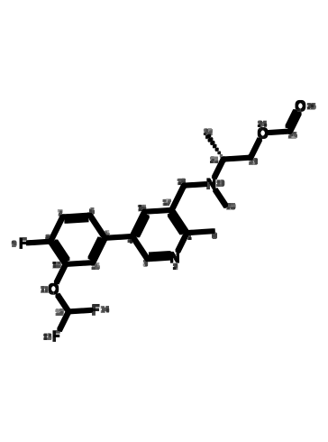 Cc1ncc(-c2ccc(F)c(OC(F)F)c2)cc1CN(C)[C@H](C)COC=O